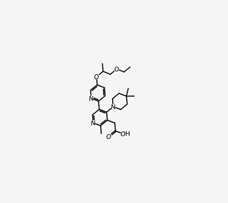 CCOCC(C)Oc1ccc(-c2cnc(C)c(CC(=O)O)c2N2CCC(C)(C)CC2)nc1